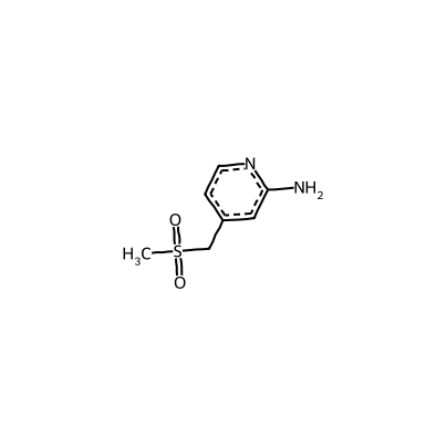 CS(=O)(=O)Cc1ccnc(N)c1